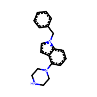 c1ccc(Cn2ccc3c(N4CCNCC4)cccc32)cc1